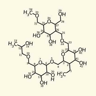 CCC1C(COC2OC(COCC(C)O)C(O)C(O)C2O)OC(COCC2C(CO)OC(COC)C(O)C2O)C(O)C1O